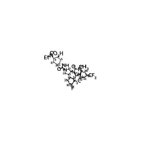 CCN(C(=O)O)[C@H]1CC[C@H](NC(=O)N2C[C@@H](N(C)C(=O)N(C)c3cc(C(F)(F)F)cc(C(F)(F)F)c3)[C@H](c3ccc(F)cc3)C2)CC1